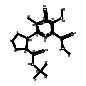 COC(=O)c1nc([C@@H]2CCCN2C(=O)OC(C)(C)C)n(C)c(=O)c1OC